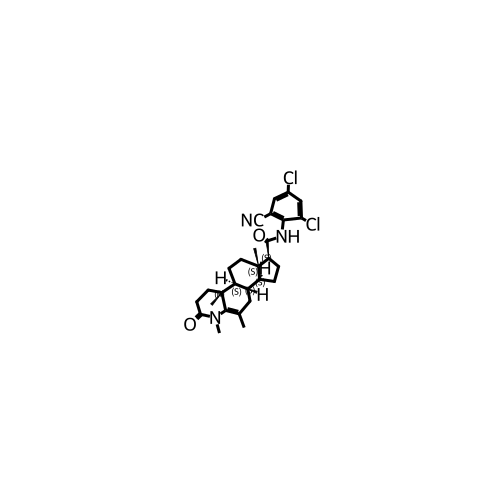 CC1=C2N(C)C(=O)CC[C@]2(C)[C@H]2CC[C@]3(C)[C@@H](C(=O)Nc4c(Cl)cc(Cl)cc4C#N)CC[C@H]3[C@@H]2C1